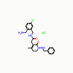 CC1=C(CC(=O)NCc2cc(Cl)ccc2CN)C(=O)N(NCc2ccccc2)CC1.Cl